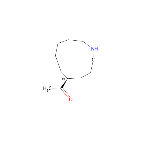 CC(=O)[C@H]1CCCCCNCCC1